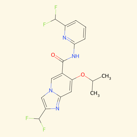 CC(C)Oc1cc2nc(C(F)F)cn2cc1C(=O)Nc1cccc(C(F)F)n1